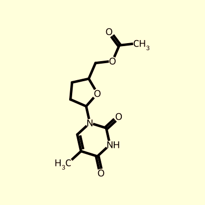 CC(=O)OCC1CCC(n2cc(C)c(=O)[nH]c2=O)O1